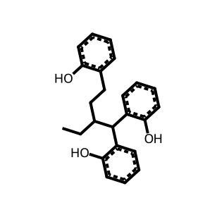 CCC(CCc1ccccc1O)C(c1ccccc1O)c1ccccc1O